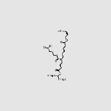 CCCCCC/C=C\COC(=O)CCCCCN(CCCC(=O)OC(CCCCCCC)CCCCCCC)C(=O)SCCCN(CC)CC